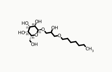 CCCCCCCOCC(O)CO[C@H]1O[C@H](CO)[C@H](O)[C@H](O)[C@H]1O